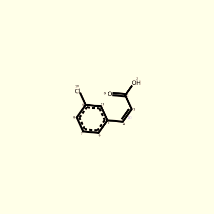 O=C(O)/C=C\c1cccc(Cl)c1